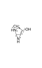 C.OC1=C2NC2NC1